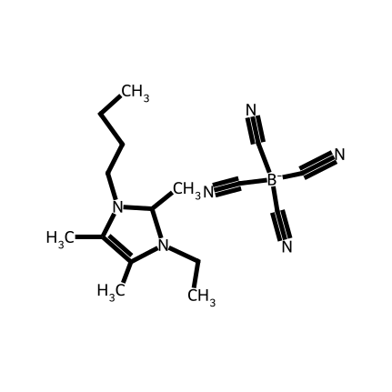 CCCCN1C(C)=C(C)N(CC)C1C.N#C[B-](C#N)(C#N)C#N